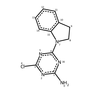 Nc1nc(Cl)nc(N2CCc3ccccc32)n1